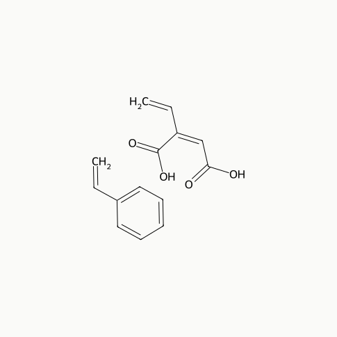 C=CC(=CC(=O)O)C(=O)O.C=Cc1ccccc1